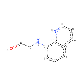 O=CCNc1cccc2c[c]cnc12